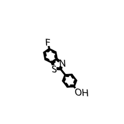 Oc1ccc(-c2nc3cc(F)ccc3s2)cc1